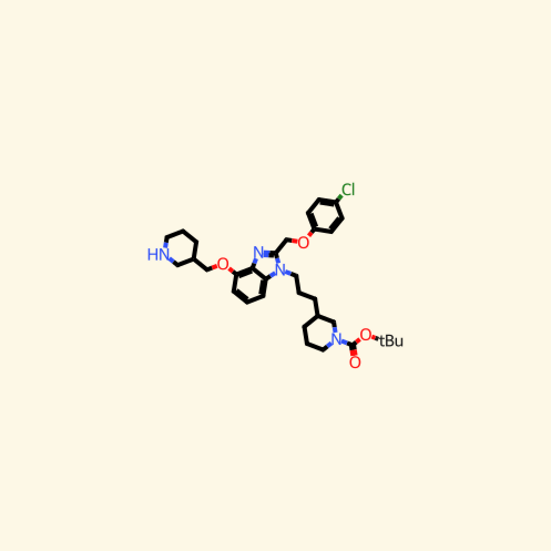 CC(C)(C)OC(=O)N1CCCC(CCCn2c(COc3ccc(Cl)cc3)nc3c(OCC4CCCNC4)cccc32)C1